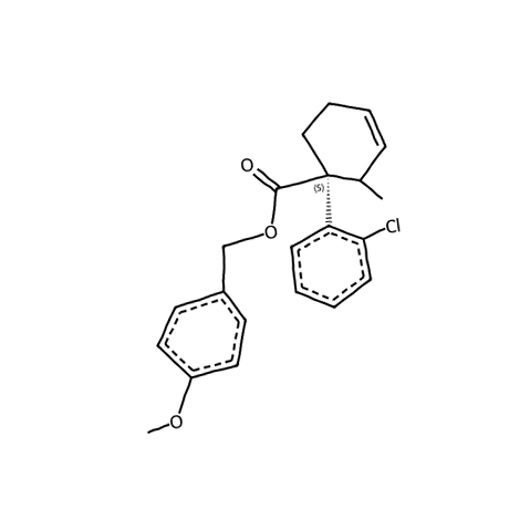 COc1ccc(COC(=O)[C@@]2(c3ccccc3Cl)CCC=CC2C)cc1